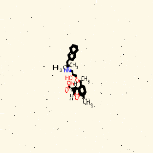 Cc1ccc([C@@H](C)OCC(O)CNC(C)(C)Cc2ccc3ccccc3c2)c2c1O[C@@H]1[C@@H](C(=O)O)[C@H]21